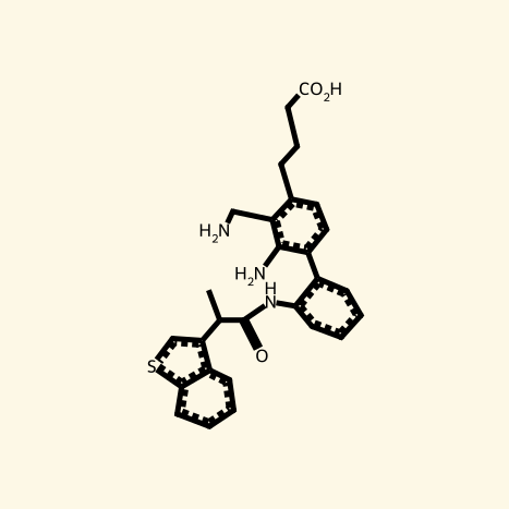 CC(C(=O)Nc1ccccc1-c1ccc(CCCC(=O)O)c(CN)c1N)c1csc2ccccc12